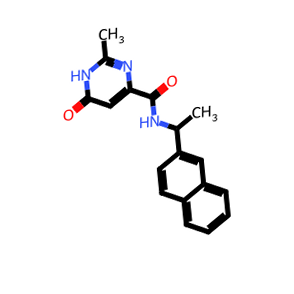 Cc1nc(C(=O)NC(C)c2ccc3ccccc3c2)cc(=O)[nH]1